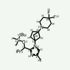 CC(C)C(O[Si](C)(C)C(C)(C)C)c1nc(I)cn1C12CCC(N3CCC(F)(F)CC3)(C1)C2